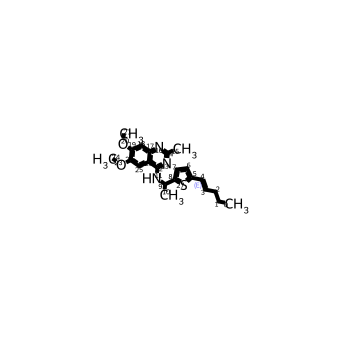 CCC/C=C/c1ccc(C(C)Nc2nc(C)nc3cc(OC)c(OC)cc23)s1